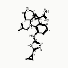 CC(C)CN(c1c(Nc2nnc(C3CC3)s2)cccc1C1(C(=O)O)CC1)C1CCOCC1